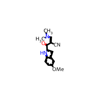 COc1ccc2[nH]c(C(=O)/C(C#N)=C\N(C)C)cc2c1